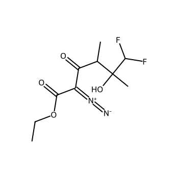 CCOC(=O)C(=[N+]=[N-])C(=O)C(C)C(C)(O)C(F)F